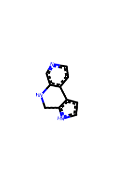 c1cc2c(cn1)NCc1[nH]ccc1-2